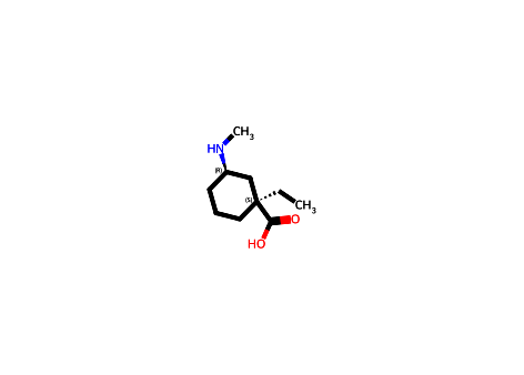 CC[C@]1(C(=O)O)CCC[C@@H](NC)C1